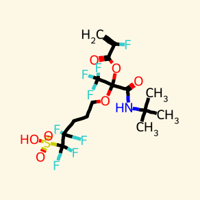 C=C(F)C(=O)OC(OCCCC(F)(F)C(F)(F)S(=O)(=O)O)(C(=O)NC(C)(C)C)C(F)(F)F